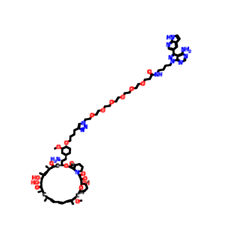 CO[C@H]1C[C@@H]2CC[C@@H](C)[C@@](O)(O2)C(=O)C(=O)N2CCCC[C@H]2C(=O)O[C@H]([C@H](N)C[C@@H]2CC[C@@H](OCCCCc3cn(CCOCCOCCOCCOCCOCCOCCC(=O)NCCCCn4nc(-c5cnc6[nH]ccc6c5)c5c(N)ncnc54)nn3)[C@H](OC)C2)CC(=O)[C@H](C)/C=C(\C)[C@@H](O)[C@@H](O)C(=O)[C@H](C)C[C@H](C)/C=C/C=C/C=C/1C